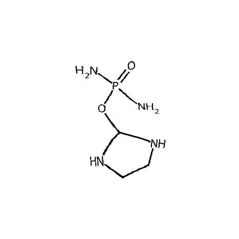 NP(N)(=O)OC1NCCN1